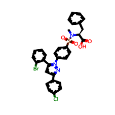 CN([C@@H](Cc1ccccc1)C(=O)O)S(=O)(=O)c1ccc(-n2nc(-c3ccc(Cl)cc3)cc2-c2ccccc2Br)cc1